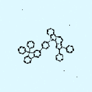 c1ccc(-c2cc3c(ccc4c5ccccc5n(-c5ccc(-c6ccc7c(c6)C(c6ccccc6)(c6ccccc6)c6ccccc6-7)cc5)c43)n2-c2ccccc2)cc1